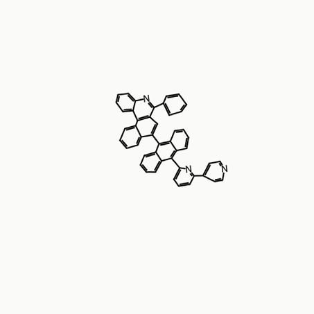 c1ccc(-c2nc3ccccc3c3c2cc(-c2c4ccccc4c(-c4cccc(-c5ccncc5)n4)c4ccccc24)c2ccccc23)cc1